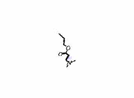 CCCOC(=O)/C=C/N(C)C